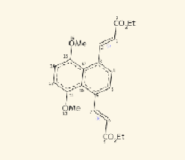 CCOC(=O)/C=C/c1ccc(/C=C/C(=O)OCC)c2c(OC)ccc(OC)c12